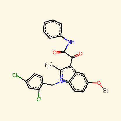 CCOc1ccc2c(c1)c(C(=O)C(=O)Nc1ccccc1)c(C(F)(F)F)n2Cc1ccc(Cl)cc1Cl